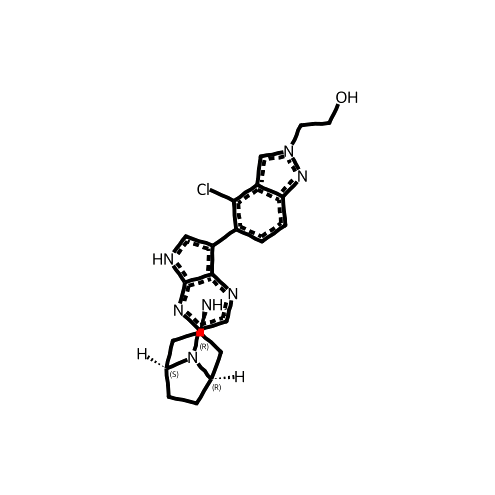 N[C@H]1C[C@H]2CC[C@@H](C1)N2c1cnc2c(-c3ccc4nn(CCO)cc4c3Cl)c[nH]c2n1